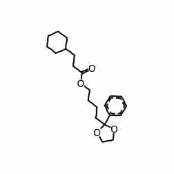 O=C(CCC1CCCCC1)OCCCCC1(c2ccccc2)OCCO1